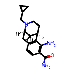 C[C@@H]1[C@H]2Cc3ccc(C(N)=O)c(N)c3[C@]1(C)CCN2CC1CC1